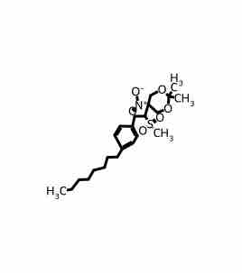 CCCCCCCCc1ccc(CC(C2([N+](=O)[O-])COC(C)(C)OC2)S(C)(=O)=O)cc1